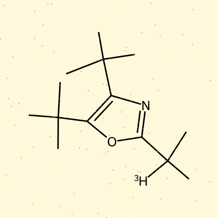 [3H]C(C)(C)c1nc(C(C)(C)C)c(C(C)(C)C)o1